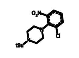 CC(C)(C)N1CCN(c2c(Cl)cccc2[N+](=O)[O-])CC1